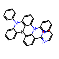 c1ccc(N2c3ccccc3B3c4cccc(-c5ncccn5)c4N(c4ccccc4)c4cccc2c43)cc1